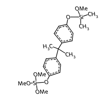 CO[Si](C)(C)Oc1ccc(C(C)(C)c2ccc(O[Si](OC)(OC)OC)cc2)cc1